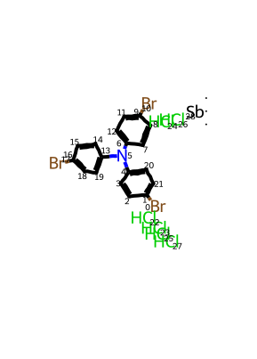 Brc1ccc(N(c2ccc(Br)cc2)c2ccc(Br)cc2)cc1.Cl.Cl.Cl.Cl.Cl.Cl.[Sb]